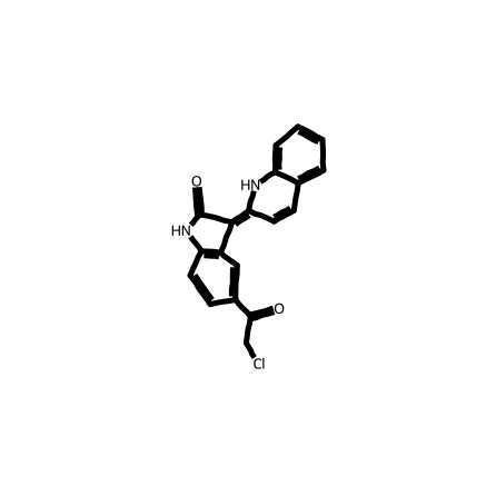 O=C1Nc2ccc(C(=O)CCl)cc2C1=C1C=Cc2ccccc2N1